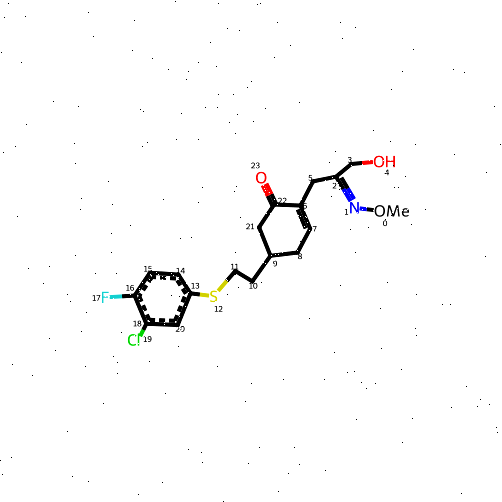 CON=C(CO)CC1=CCC(CCSc2ccc(F)c(Cl)c2)CC1=O